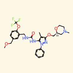 COCc1ccc(OC(F)(F)F)c(CNC(=O)Nc2c(C)c(OC[C@@H]3CN(C)CCO3)nn2-c2ccccc2)c1